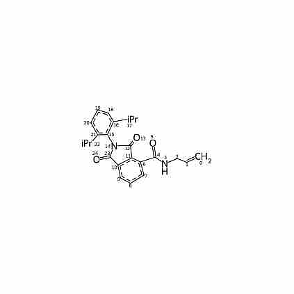 C=CCNC(=O)c1cccc2c1C(=O)N(c1c(C(C)C)cccc1C(C)C)C2=O